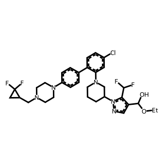 CCOC(O)c1cnn(C2CCCN(c3cc(Cl)ccc3-c3ccc(N4CCN(CC5CC5(F)F)CC4)cc3)C2)c1C(F)F